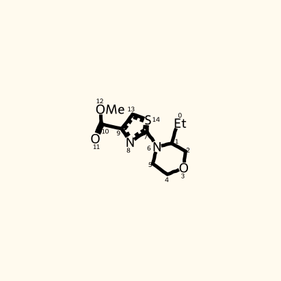 CCC1COCCN1c1nc(C(=O)OC)cs1